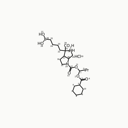 CC(C)C(OC(=O)C1CCCCC1)OC(=O)N1CCC2C1CNC2(CCCCB(O)O)C(=O)O.Cl